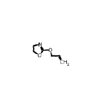 C=CCOC1=NCCO1